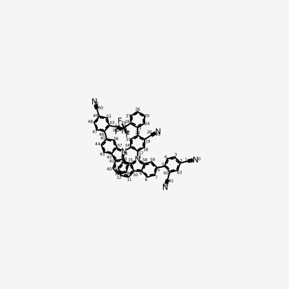 N#Cc1ccc(-c2ccc3c4ccccc4n(-c4cc(C#N)c(-c5ccccc5C(F)(F)F)cc4-n4c5ccccc5c5ccc(-c6ccc(C#N)cc6C#N)cc54)c3c2)c(C#N)c1